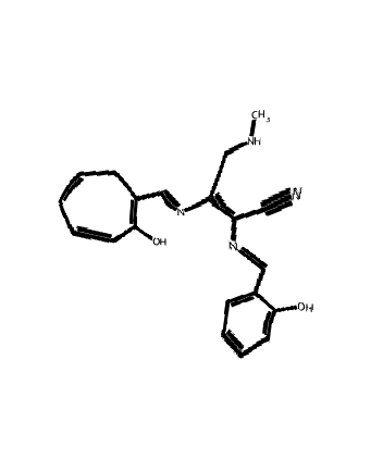 CNCC(/N=C/C1=C(O)C=CC=CC1)=C(C#N)/N=C/c1ccccc1O